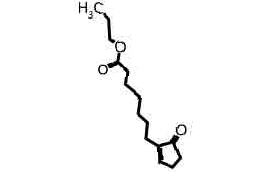 CCCOC(=O)CCCCCCC1=CCCC1=O